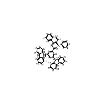 c1ccc(-c2nc(-c3cc(-n4c5ccccc5c5ccccc54)cc(-n4c5ccccc5c5ccccc54)c3)nc3c2ccc2ccccc23)cc1